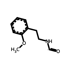 COc1ccccc1CCN[C]=O